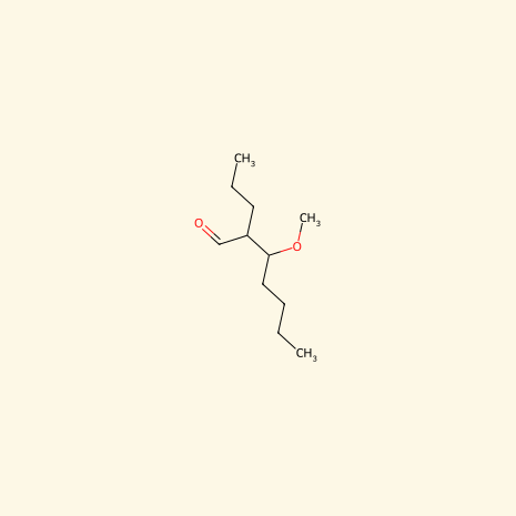 CCCCC(OC)C(C=O)CCC